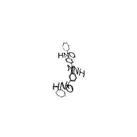 O=C(NC1CCCCCC1)c1ccc2[nH]c(-c3ccc(NC(=O)C4CCCCCC4)cc3)nc2c1